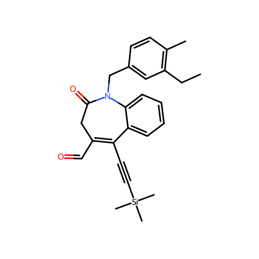 CCc1cc(CN2C(=O)CC(C=O)=C(C#C[Si](C)(C)C)c3ccccc32)ccc1C